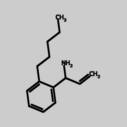 C=CC(N)c1ccccc1CCCCC